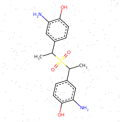 CC(c1ccc(O)c(N)c1)S(=O)(=O)C(C)c1ccc(O)c(N)c1